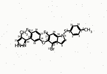 Cc1ccc(Sn2ccc3c(Br)c(Oc4ccc(F)c(-c5n[nH]cc5C)c4)c(F)cc32)cc1